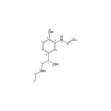 CCNCC(O)c1ccc(O)c(NC=O)c1